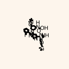 CC(C)(C)[Si](C)(C)OC1CC(NC(=O)O)CC(n2c(-c3ccccc3F)nc3cnc(C4=NNCN4COCC[Si](C)(C)C)cc32)C1